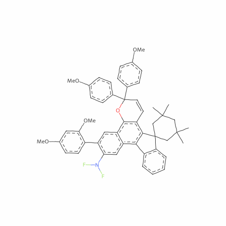 COc1ccc(C2(c3ccc(OC)cc3)C=Cc3c4c(c5cc(N(F)F)c(-c6ccc(OC)cc6OC)cc5c3O2)-c2ccccc2C42CC(C)(C)CC(C)(C)C2)cc1